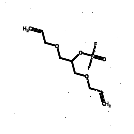 C=CCOCC(COCC=C)OP(=O)(F)F